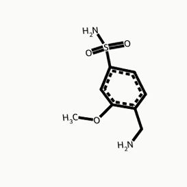 COc1cc(S(N)(=O)=O)ccc1CN